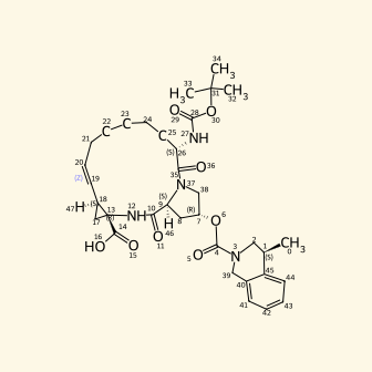 C[C@@H]1CN(C(=O)O[C@@H]2C[C@H]3C(=O)N[C@]4(C(=O)O)C[C@H]4/C=C\CCCCC[C@H](NC(=O)OC(C)(C)C)C(=O)N3C2)Cc2ccccc21